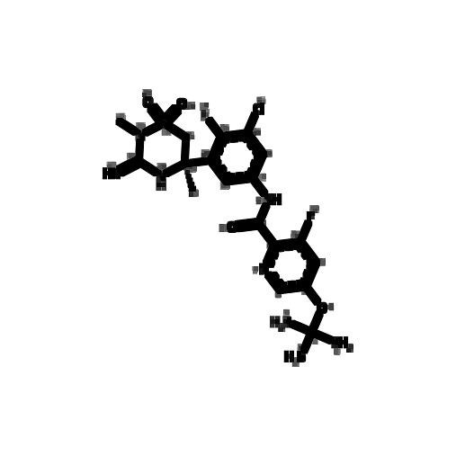 BC(B)(B)Oc1cnc(C(=O)Nc2cc(Cl)c(F)c([C@]3(C)CS(=O)(=O)N(C)C(=N)N3)c2)c(F)c1